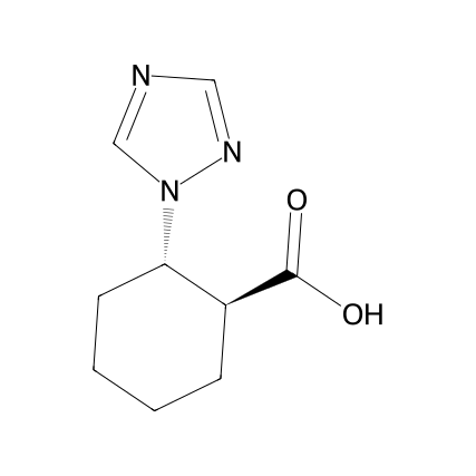 O=C(O)[C@H]1CCCC[C@@H]1n1cncn1